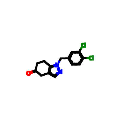 O=C1CCc2c(cnn2Cc2ccc(Cl)c(Cl)c2)C1